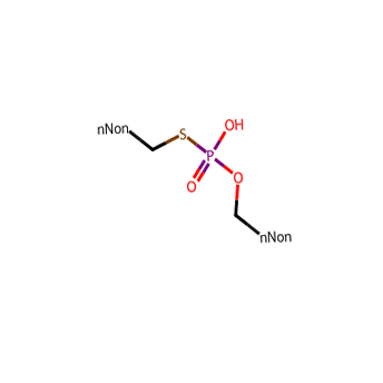 CCCCCCCCCCOP(=O)(O)SCCCCCCCCCC